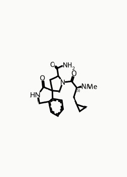 CN[C@@H](CC1CC1)C(=O)N1CC2(CC1C(N)=O)C(=O)NCc1ccccc12